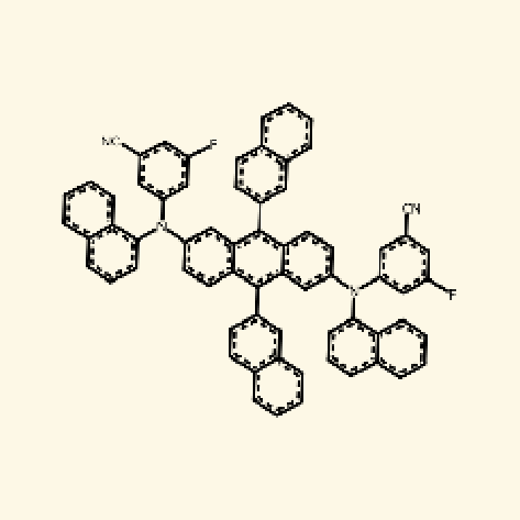 N#Cc1cc(F)cc(N(c2ccc3c(-c4ccc5ccccc5c4)c4cc(N(c5cc(F)cc(C#N)c5)c5cccc6ccccc56)ccc4c(-c4ccc5ccccc5c4)c3c2)c2cccc3ccccc23)c1